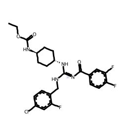 CCOC(=O)N[C@H]1CC[C@H](N/C(=N\C(=O)c2ccc(F)c(F)c2)NCc2ccc(Cl)cc2F)CC1